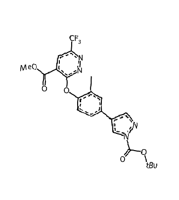 COC(=O)c1cc(C(F)(F)F)nnc1Oc1ccc(-c2cnn(C(=O)OC(C)(C)C)c2)cc1C